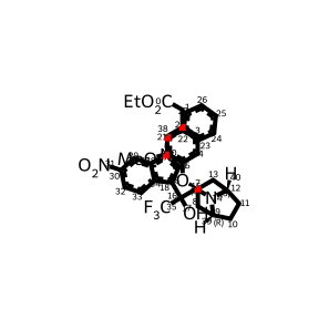 CCOC(=O)Cc1ccc(O[C@@H]2C[C@H]3CC[C@@H](C2)N3CC(O)(c2cn(Cc3ccccc3)c3cc([N+](=O)[O-])ccc23)C(F)(F)F)c(OC)c1